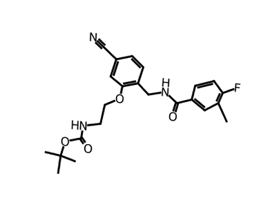 Cc1cc(C(=O)NCc2ccc(C#N)cc2OCCNC(=O)OC(C)(C)C)ccc1F